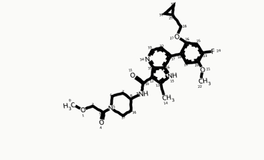 COCC(=O)N1CCC(NC(=O)c2c(C)[nH]c3c(-c4cc(OC)c(F)cc4OCC4CC4)ccnc23)CC1